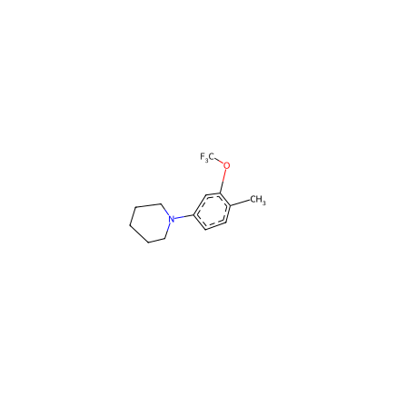 Cc1ccc(N2CCCCC2)cc1OC(F)(F)F